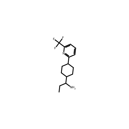 CCC(N)C1CCC(c2cccc(C(F)(F)F)n2)CC1